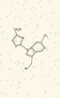 CCOC(=O)c1csc(-n2cc(CC(C)C)c3ccc(C(F)(F)F)cc32)n1